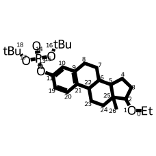 CCOC1CCC2C3CCc4cc(OP(=O)(OC(C)(C)C)OC(C)(C)C)ccc4C3CCC12C